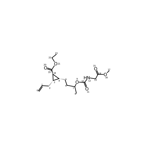 C=CC[C@H]1[C@@H](CCC(C)OC(=O)NCC(=O)OC)[C@@H]1C(=O)OCC